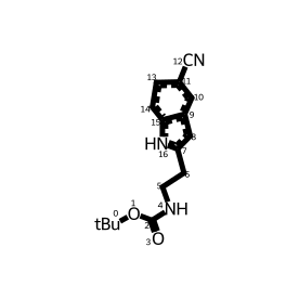 CC(C)(C)OC(=O)NCCc1cc2cc(C#N)ccc2[nH]1